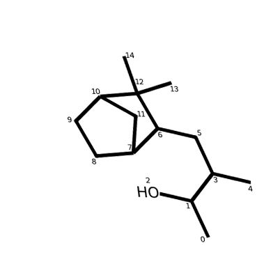 CC(O)C(C)CC1C2CCC(C2)C1(C)C